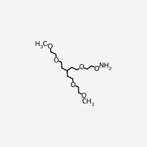 COCCOCCC(CCOCCOC)CCOCCON